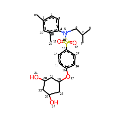 Cc1ccc(N(CC(C)C)S(=O)(=O)c2ccc(OC3CC(O)CC(O)C3)cc2)c(C)c1